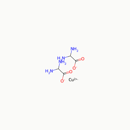 NC(N)C(=O)[O-].NC(N)C(=O)[O-].[Cu+2]